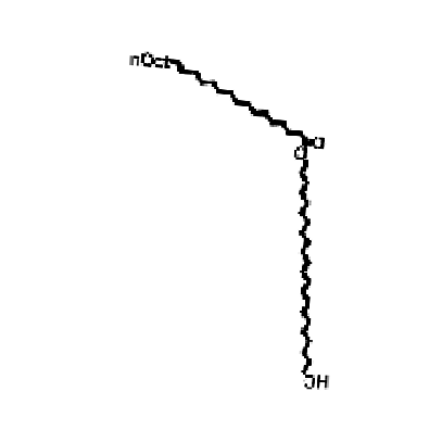 CCCCCCCCC=CCCCCCCCCCCCCCC(=O)OCCCCCCCCCCCCCCCCCCCCCCO